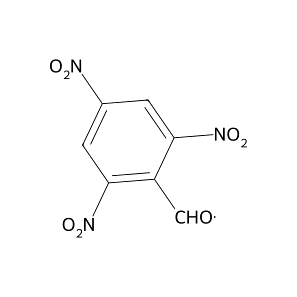 O=[C]c1c([N+](=O)[O-])cc([N+](=O)[O-])cc1[N+](=O)[O-]